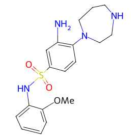 COc1ccccc1NS(=O)(=O)c1ccc(N2CCCNCC2)c(N)c1